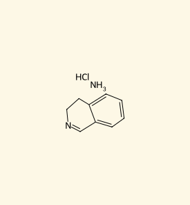 C1=NCCc2ccccc21.Cl.N